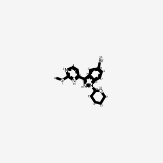 CSc1nccc(-c2nn(C3CCCCO3)c3ccc(Br)cc23)n1